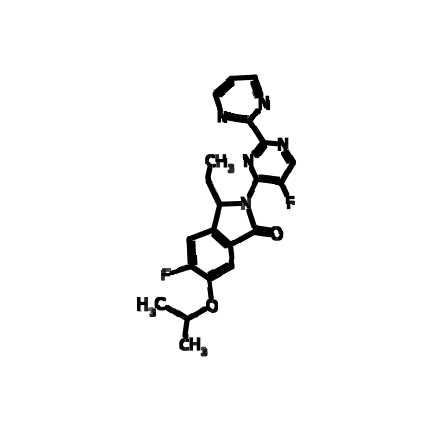 CCC1c2cc(F)c(OC(C)C)cc2C(=O)N1c1nc(-c2ncccn2)ncc1F